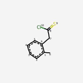 Cc1ccccc1CC(=S)Cl